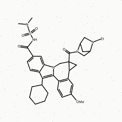 CCN1CC2CC1CN2C(=O)C12CC1c1cc(OC)ccc1-c1c(C3CCCCC3)c3ccc(C(=O)NS(=O)(=O)N(C)C)cc3n1C2